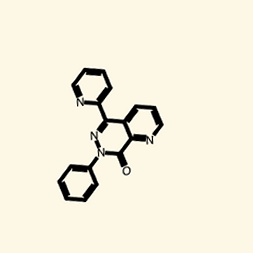 O=c1c2ncccc2c(-c2ccccn2)nn1-c1ccccc1